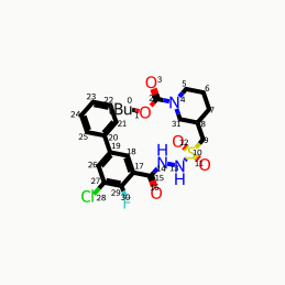 CC(C)(C)OC(=O)N1CCCC(CS(=O)(=O)NNC(=O)c2cc(-c3ccccc3)cc(Cl)c2F)C1